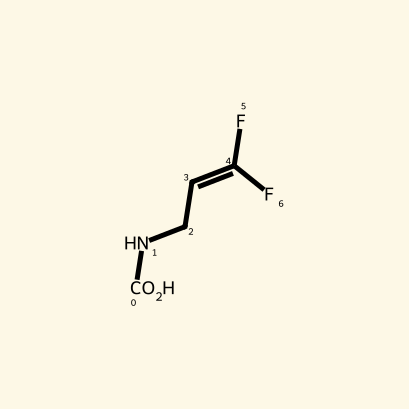 O=C(O)NCC=C(F)F